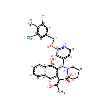 Cc1oc2c(c1C(=O)O)c(C(c1ccnc(OCc3cc(Cl)c(C)c(Cl)c3)c1)N1CCCCC1)c(O)c1ccccc12